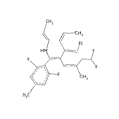 C\C=C/C(=C\CC)C(/C=C(/C)CC(F)F)=C(\N/C=C/C)c1c(F)cc(C)cc1F